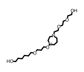 OCCCCCCOCCCON1CCCN(CCOCCOCCO)CC1